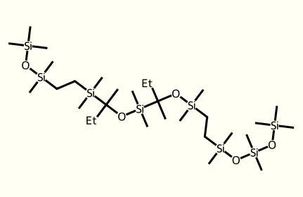 CCC(C)(O[Si](C)(C)C(C)(CC)O[Si](C)(C)CC[Si](C)(C)O[Si](C)(C)O[Si](C)(C)C)[Si](C)(C)CC[Si](C)(C)O[Si](C)(C)C